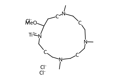 COC1CCN(C)CCCN(C)CCCN(C)CCC[N]1[Ti+3].[Cl-].[Cl-].[Cl-]